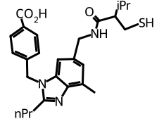 CCCc1nc2c(C)cc(CNC(=O)C(CS)C(C)C)cc2n1Cc1ccc(C(=O)O)cc1